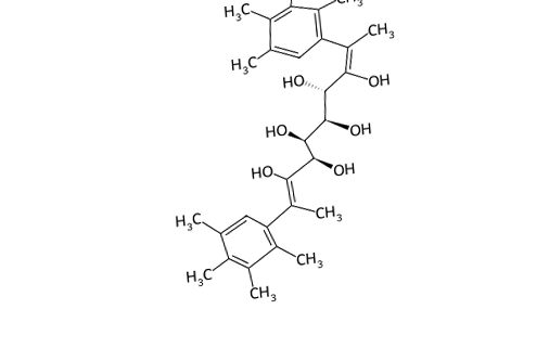 CC(=C(O)[C@@H](O)[C@@H](O)[C@H](O)[C@@H](O)C(O)=C(C)c1cc(C)c(C)c(C)c1C)c1cc(C)c(C)c(C)c1C